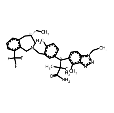 CC[C@H]1Cc2cccc(C(F)(F)F)c2CN(Cc2cc([C@@H](c3ccc4c(nnn4CC)c3C)C(C)(C)C(N)=O)ccc2C)C1